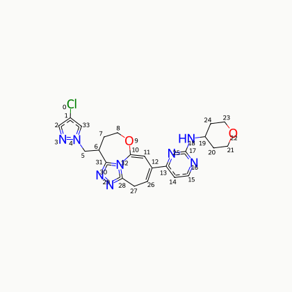 Clc1cnn(CC2CCOC3=CC(c4ccnc(NC5CCOCC5)n4)=CCc4nnc2n43)c1